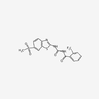 CS(=O)(=O)c1ccc2nc(NC(=O)NC(=O)c3ccccc3C(F)(F)F)sc2c1